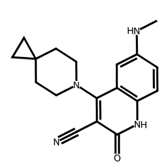 CNc1ccc2[nH]c(=O)c(C#N)c(N3CCC4(CC3)CC4)c2c1